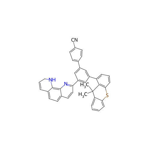 CC1(C)c2ccccc2Sc2cccc(-c3cc(-c4ccc(C#N)cc4)cc(-c4ccc5ccc6c(c5n4)NCC=C6)c3)c21